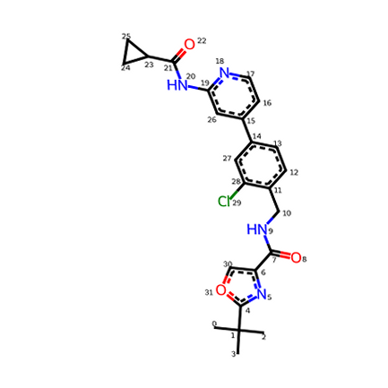 CC(C)(C)c1nc(C(=O)NCc2ccc(-c3ccnc(NC(=O)C4CC4)c3)cc2Cl)co1